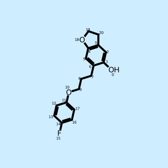 Oc1cc2c(cc1CCCOc1ccc(F)cc1)OCC2